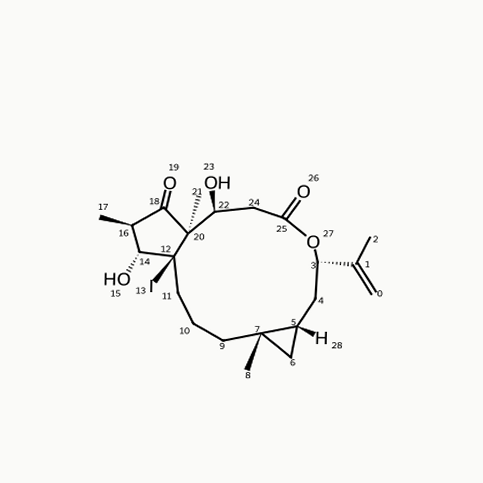 C=C(C)[C@@H]1C[C@@H]2C[C@]2(C)CCC[C@]2(I)[C@H](O)[C@@H](C)C(=O)[C@@]2(C)[C@@H](O)CC(=O)O1